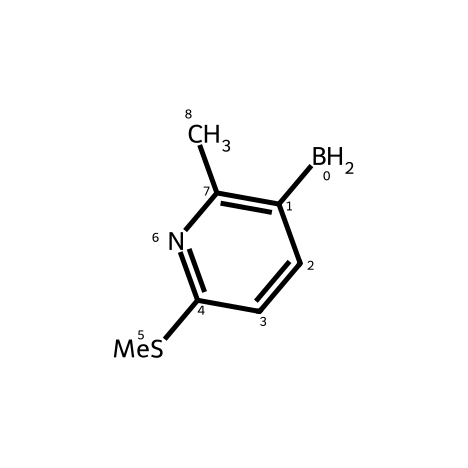 Bc1ccc(SC)nc1C